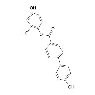 Cc1cc(O)ccc1OC(=O)c1ccc(-c2ccc(O)cc2)cc1